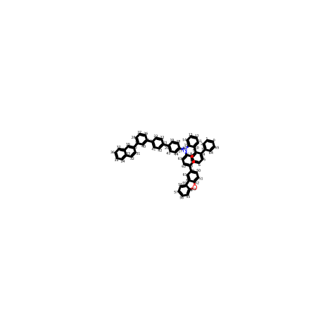 c1ccc(-c2ccccc2-c2ccccc2N(c2ccc(-c3ccc(-c4cccc(-c5ccc6ccccc6c5)c4)cc3)cc2)c2ccc(-c3ccc4oc5ccccc5c4c3)cc2)cc1